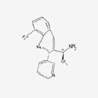 N[C@H](c1cc2cccc(C(F)(F)F)c2nc1-c1cccnc1)C(F)(F)F